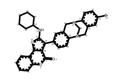 O=c1oc2ccccc2c2oc(NC3CCCCC3)c(-c3ccc4c(c3)CN3CN4Cc4cc(Br)ccc43)c12